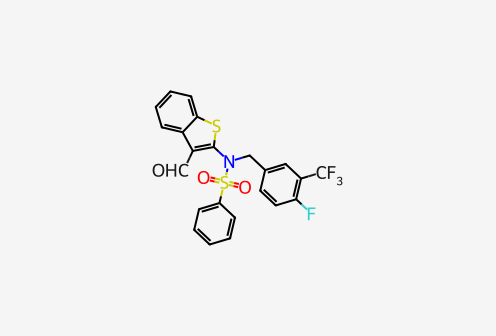 O=Cc1c(N(Cc2ccc(F)c(C(F)(F)F)c2)S(=O)(=O)c2ccccc2)sc2ccccc12